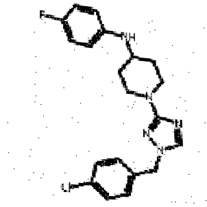 Fc1ccc(NC2CCN(c3ncn(Cc4ccc(Cl)cc4)n3)CC2)cc1